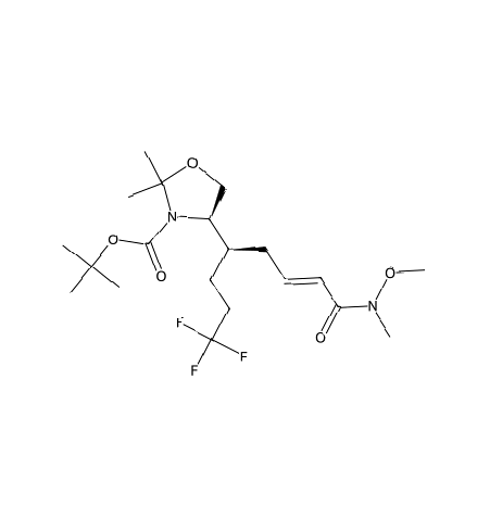 CON(C)C(=O)/C=C/C[C@@H](CCC(F)(F)F)[C@@H]1COC(C)(C)N1C(=O)OC(C)(C)C